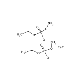 CCOP(=O)([O-])ON.CCOP(=O)([O-])ON.[Ca+2]